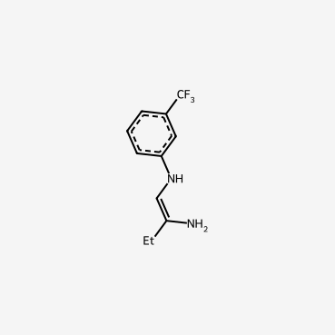 CC/C(N)=C/Nc1cccc(C(F)(F)F)c1